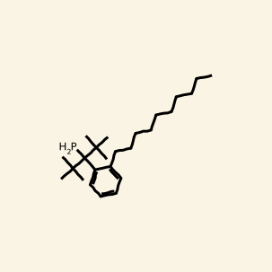 CCCCCCCCCCc1ccccc1C(P)(C(C)(C)C)C(C)(C)C